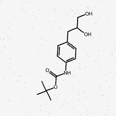 CC(C)(C)OC(=O)Nc1ccc(CC(O)CO)cc1